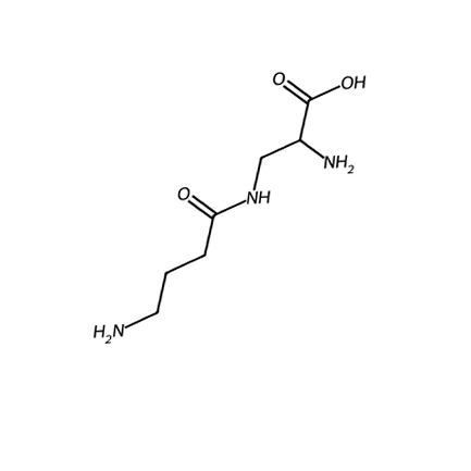 NCCCC(=O)NCC(N)C(=O)O